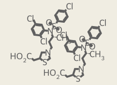 C[C@H](CCN1CSC(CC(=O)O)C1)N(c1cc(Cl)ccc1Cl)S(=O)(=O)c1ccc(Cl)cc1.C[C@H](CCN1CSC(CC(=O)O)C1)N(c1cc(Cl)ccc1Cl)S(=O)(=O)c1ccc(Cl)cc1